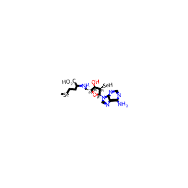 C[Se]CCC(NC[C@H]1O[C@@H](n2cnc3c(N)ncnc32)[C@H]([SeH])[C@@H]1O)C(=O)O